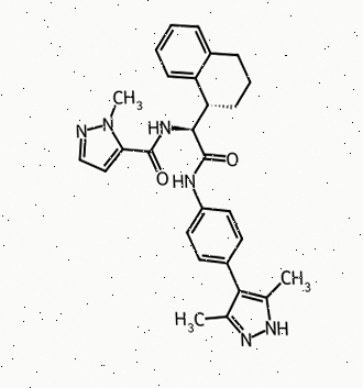 Cc1n[nH]c(C)c1-c1ccc(NC(=O)[C@@H](NC(=O)c2ccnn2C)[C@H]2CCCc3ccccc32)cc1